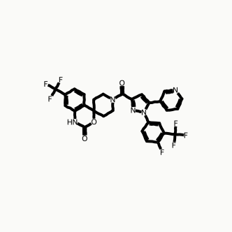 O=C1Nc2cc(C(F)(F)F)ccc2C2(CCN(C(=O)c3cc(-c4cccnc4)n(-c4ccc(F)c(C(F)(F)F)c4)n3)CC2)O1